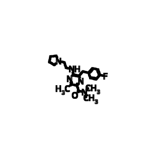 Cc1nc(NCCN2CCCC2)c(Cc2ccc(F)cc2)nc1C(=O)N(C)C